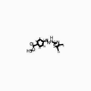 Cc1nc(NN=Nc2ccc(C(=O)OS)cc2)sc1C